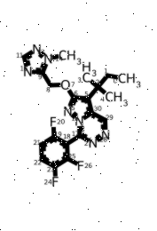 CCC(C)(C)c1c(OCc2ncnn2C)nn2c(-c3c(F)ccc(F)c3F)nncc12